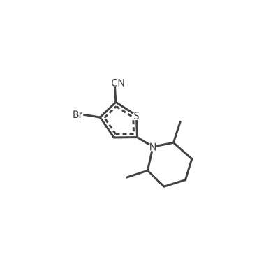 CC1CCCC(C)N1c1cc(Br)c(C#N)s1